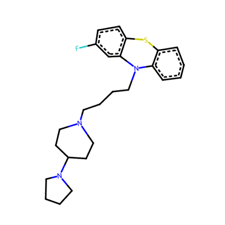 Fc1ccc2c(c1)N(CCCCN1CCC(N3CCCC3)CC1)c1ccccc1S2